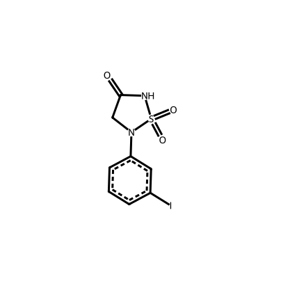 O=C1CN(c2cccc(I)c2)S(=O)(=O)N1